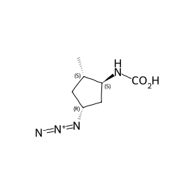 C[C@H]1C[C@@H](N=[N+]=[N-])C[C@@H]1NC(=O)O